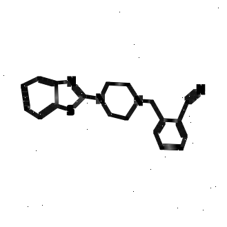 N#Cc1ccccc1CN1CCN(c2nc3ccccc3s2)CC1